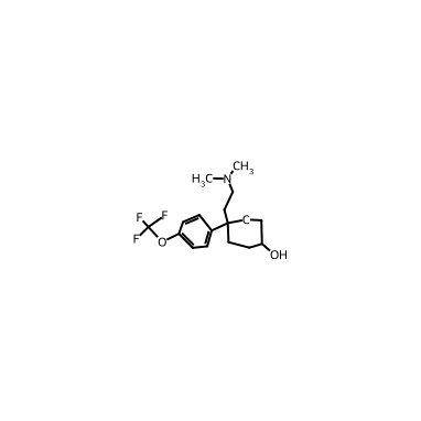 CN(C)CCC1(c2ccc(OC(F)(F)F)cc2)CCC(O)CC1